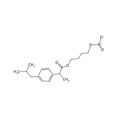 CC(C)Cc1ccc(C(C)C(=O)OCCCCO[N+](=O)[O-])cc1